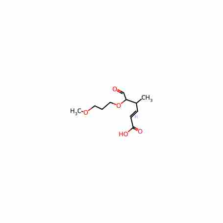 COCCCOC(C=O)C(C)/C=C/C(=O)O